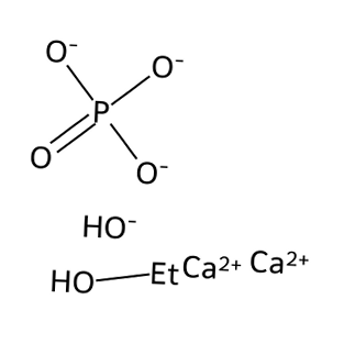 CCO.O=P([O-])([O-])[O-].[Ca+2].[Ca+2].[OH-]